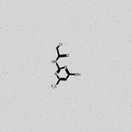 O=C(CCl)Nc1nc(O)cc(C(F)(F)F)n1